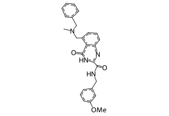 COc1cccc(CNC(=O)c2nc3cccc(CN(C)Cc4ccccc4)c3c(=O)[nH]2)c1